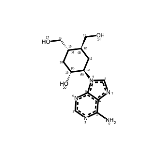 Nc1ncnc2c1ncn2[C@@H]1C[C@H](CO)[C@@H](CO)C[C@H]1O